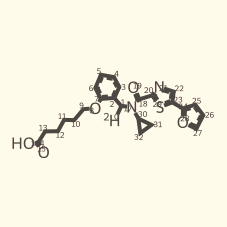 [2H]C(c1ccccc1OCCCCCC(=O)O)N(C(=O)c1ncc(-c2ccco2)s1)C1CC1